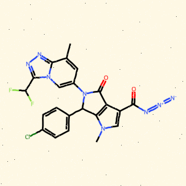 Cc1cc(N2C(=O)c3c(C(=O)N=[N+]=[N-])cn(C)c3C2c2ccc(Cl)cc2)cn2c(C(F)F)nnc12